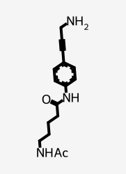 CC(=O)NCCCCC(=O)Nc1ccc(C#CCN)cc1